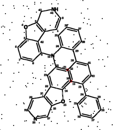 C1=Cc2c(oc3cccc(N(c4ccc5oc6cnccc6c5c4)c4ccccc4-c4ccc(-c5ccccc5)cc4)c23)CN1